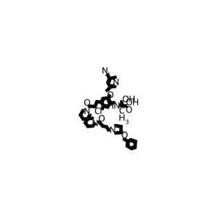 CC(CO)(NCc1cc(Cl)c(CCC(=O)N2CCCC3(CCCN(C(=O)CCCN4CC[C@@H](OCc5ccccc5)C4)C3)C2)cc1OCc1cncc(C#N)c1)C(=O)O